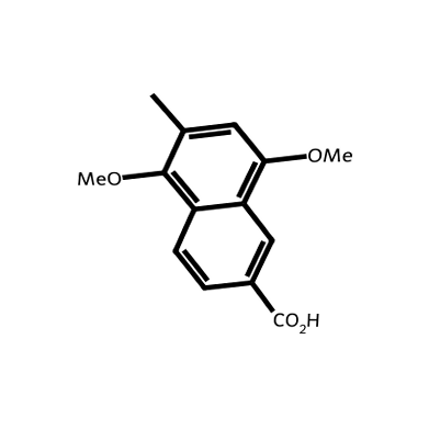 COc1cc(C)c(OC)c2ccc(C(=O)O)cc12